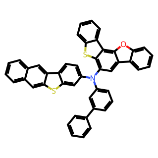 c1ccc(-c2cccc(N(c3ccc4c(c3)sc3cc5ccccc5cc34)c3cc4c5ccccc5oc4c4c3sc3ccccc34)c2)cc1